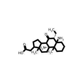 CC[C@H]1C(=O)C2C3CCC(CC(=O)O)C3(C)CC[C@]2(N)C2(C)CCCCC12N